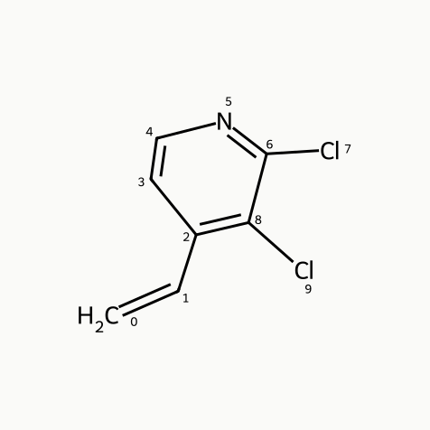 C=Cc1ccnc(Cl)c1Cl